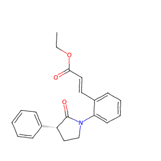 CCOC(=O)/C=C/c1ccccc1N1CC[C@H](c2ccccc2)C1=O